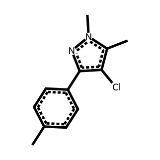 Cc1ccc(-c2nn(C)c(C)c2Cl)cc1